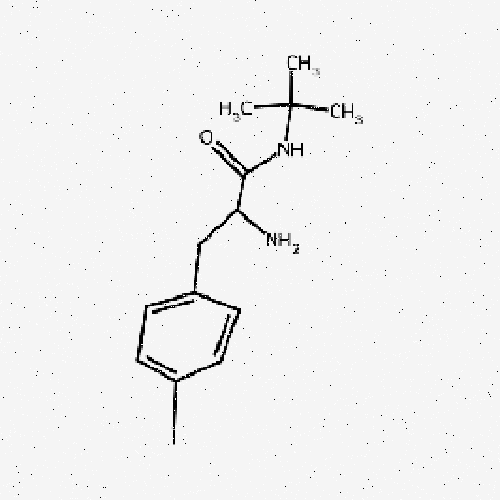 CC(C)(C)NC(=O)C(N)Cc1ccc(I)cc1